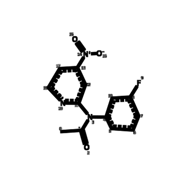 CC(=O)N(c1cccc(F)c1)c1cc([N+](=O)[O-])ccn1